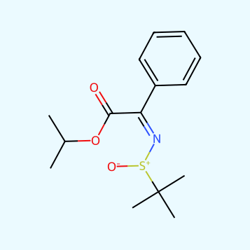 CC(C)OC(=O)C(=N[S+]([O-])C(C)(C)C)c1ccccc1